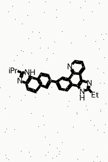 CCc1nc2c3cccnc3c3cc(-c4ccc5c(ccc6nc(C(C)C)[nH]c65)c4)ccc3c2[nH]1